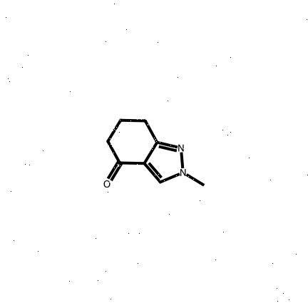 Cn1cc2c(n1)CCCC2=O